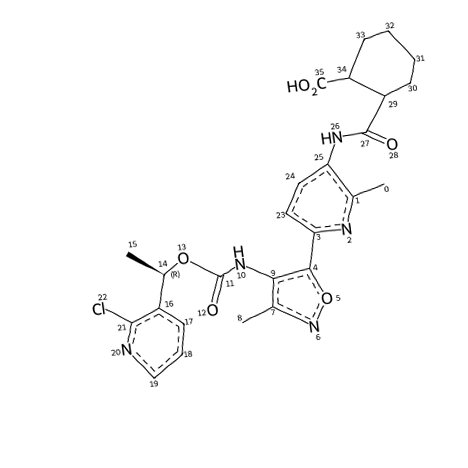 Cc1nc(-c2onc(C)c2NC(=O)O[C@H](C)c2cccnc2Cl)ccc1NC(=O)C1CCCCC1C(=O)O